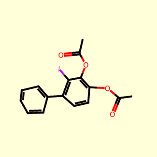 CC(=O)Oc1ccc(-c2ccccc2)c(I)c1OC(C)=O